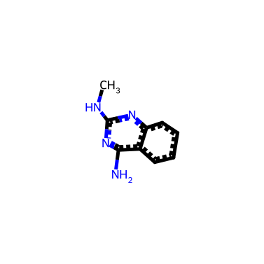 CNc1nc(N)c2ccccc2n1